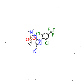 CN(C)C=Nc1c(C2(S(C)(=O)=O)CC2)c(C#N)nn1-c1c(Cl)cc(C(F)(F)F)cc1Cl